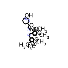 COc1cc(/C=C\c2ccc(OC)c(OC)c2N/C=C\C(=O)C2/C=C\C(O)=C/CCC2)cc(OC)c1OC